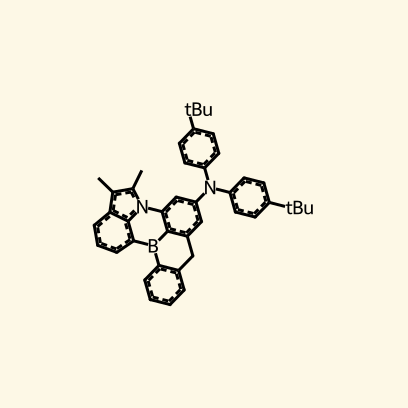 Cc1c(C)n2c3c(cccc13)B1c3ccccc3Cc3cc(N(c4ccc(C(C)(C)C)cc4)c4ccc(C(C)(C)C)cc4)cc-2c31